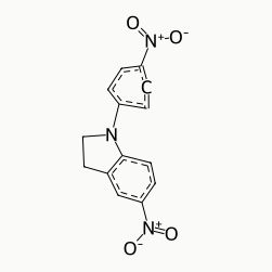 O=[N+]([O-])c1ccc(N2CCc3cc([N+](=O)[O-])ccc32)cc1